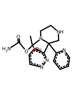 CC(C)(C)C(C)(OC(N)=O)N1CCNCC1(c1ccccn1)c1cccnn1